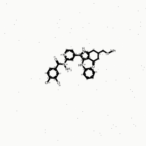 CC(C)SCC1CC(=O)c2c([nH]c(-c3ccnc(N(N)C(=O)c4ccc(Cl)c(Cl)c4)c3)c2Nc2ccccc2)C1